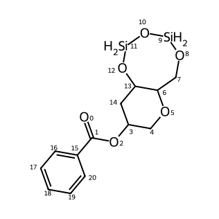 O=C(OC1COC2CO[SiH2]O[SiH2]OC2C1)c1ccccc1